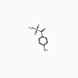 NS(=O)(=O)C(=S)c1ccc(O)cc1